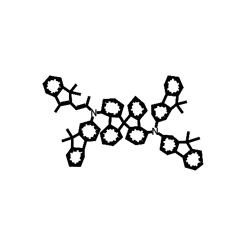 CC1=C(/C=C(\C)N(c2ccc3c(c2)C(C)(C)c2ccccc2-3)c2cccc3c2-c2ccccc2C32c3ccccc3-c3c(N(c4ccc5c(c4)C(C)(C)c4ccccc4-5)c4ccc5c(c4)C(C)(C)c4ccccc4-5)cccc32)C(C)(C)c2ccccc21